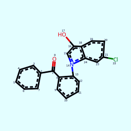 O=C(c1ccccc1)c1ccccc1-n1cc(O)c2ccc(Cl)cc21